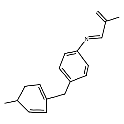 C=C(C)/C=N/c1ccc(CC2=CCC(C)C=C2)cc1